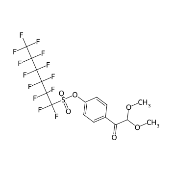 COC(OC)C(=O)c1ccc(OS(=O)(=O)C(F)(F)C(F)(F)C(F)(F)C(F)(F)C(F)(F)C(F)(F)F)cc1